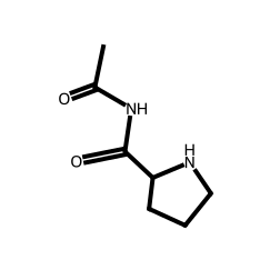 CC(=O)NC(=O)C1CCCN1